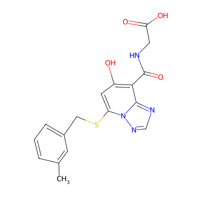 Cc1cccc(CSc2cc(O)c(C(=O)NCC(=O)O)c3ncnn23)c1